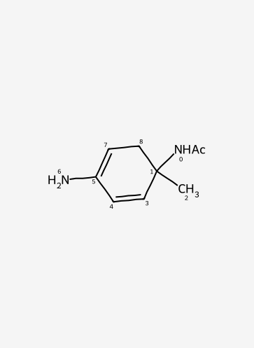 CC(=O)NC1(C)C=CC(N)=CC1